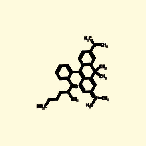 CN(CCCC(=O)O)C(=O)c1ccccc1C1=C2C=CC(=[N+](C)C)C=C2C(C)(C)c2cc(N(C)C)ccc21